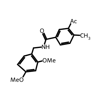 COc1ccc(CNC(=O)c2ccc(C)c(C(C)=O)c2)c(OC)c1